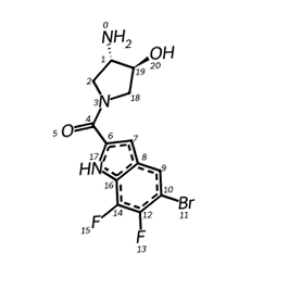 N[C@H]1CN(C(=O)c2cc3cc(Br)c(F)c(F)c3[nH]2)C[C@@H]1O